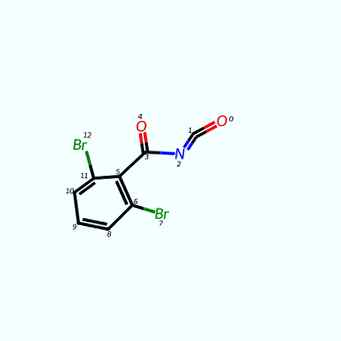 O=C=NC(=O)c1c(Br)cccc1Br